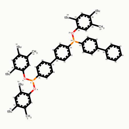 Cc1cc(OP(Oc2cc(C)c(C(C)(C)C)cc2C(C)(C)C)c2ccc(-c3ccc(P(Oc4cc(C)c(C(C)(C)C)cc4C(C)(C)C)c4ccc(-c5ccccc5)cc4)cc3)cc2)c(C(C)(C)C)cc1C(C)(C)C